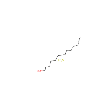 CCCCCCCCCCCCO.S